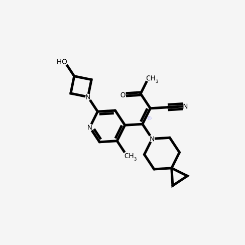 CC(=O)/C(C#N)=C(\c1cc(N2CC(O)C2)ncc1C)N1CCC2(CC1)CC2